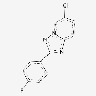 Fc1ccc(-c2nc3ccc(Cl)cn3n2)cc1